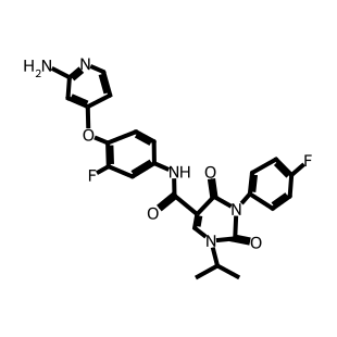 CC(C)n1cc(C(=O)Nc2ccc(Oc3ccnc(N)c3)c(F)c2)c(=O)n(-c2ccc(F)cc2)c1=O